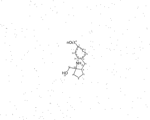 CCCCCCCCc1ccc(CC2CCCC2(N)CO)cc1